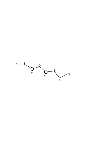 [CH2]COCOCCC